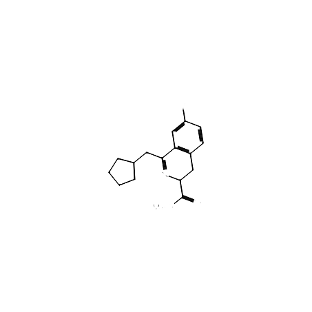 COC(=O)C1Cc2ccc(O)cc2C(CC2CCCC2)=N1